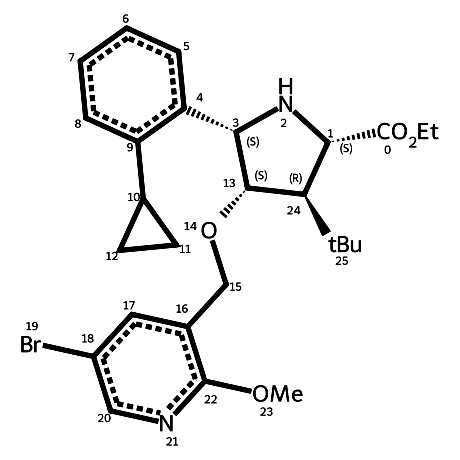 CCOC(=O)[C@H]1N[C@@H](c2ccccc2C2CC2)[C@@H](OCc2cc(Br)cnc2OC)[C@@H]1C(C)(C)C